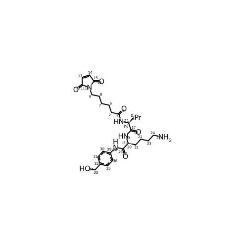 CC(C)[C@H](NC(=O)CCCCCN1C(=O)C=CC1=O)C(=O)N[C@@H](CCCCN)C(=O)Nc1ccc(CO)cc1